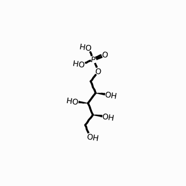 O=P(O)(O)OC[C@@H](O)[C@H](O)[C@@H](O)CO